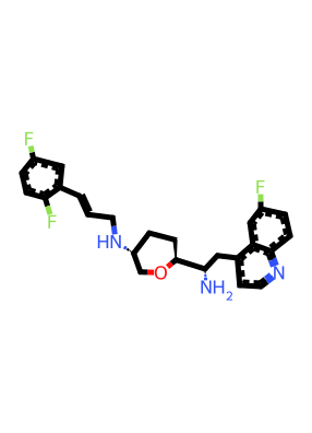 N[C@@H](Cc1ccnc2ccc(F)cc12)[C@@H]1CC[C@@H](NCC=Cc2cc(F)ccc2F)CO1